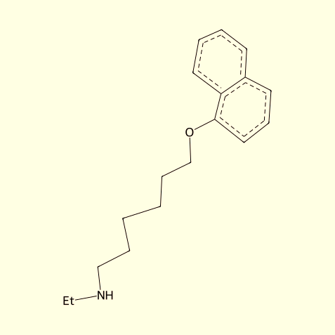 CCNCCCCCCOc1cccc2ccccc12